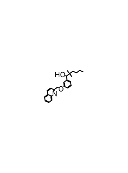 CCCCC(C)(C)C(O)c1cccc(OCc2ccc3ccccc3n2)c1